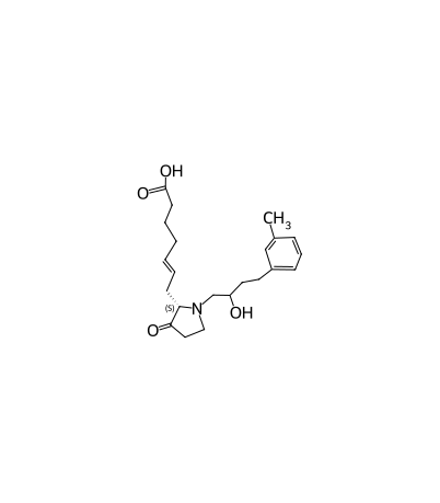 Cc1cccc(CCC(O)CN2CCC(=O)[C@@H]2CC=CCCCC(=O)O)c1